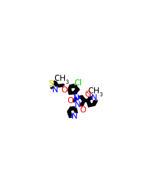 COc1ncccc1-c1cn(-c2cc(Cl)cc(OCc3ncsc3C)c2)c(=O)n(-c2cccnc2)c1=O